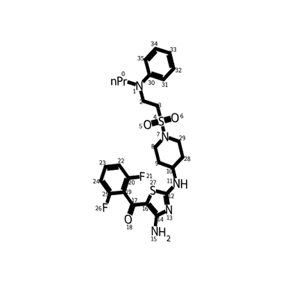 CCCN(CCS(=O)(=O)N1CCC(Nc2nc(N)c(C(=O)c3c(F)cccc3F)s2)CC1)c1ccccc1